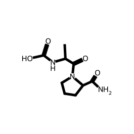 CC(NC(=O)O)C(=O)N1CCCC1C(N)=O